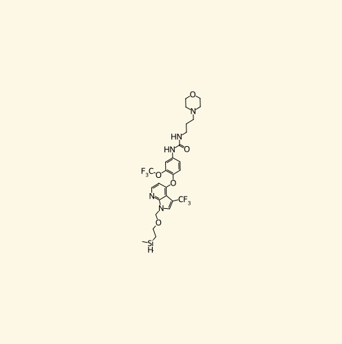 C[SiH](C)CCOCn1cc(C(F)(F)F)c2c(Oc3ccc(NC(=O)NCCCN4CCOCC4)cc3OC(F)(F)F)ccnc21